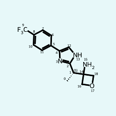 C[C@H](c1nc(-c2ccc(C(F)(F)F)cc2)c[nH]1)C1(N)COC1